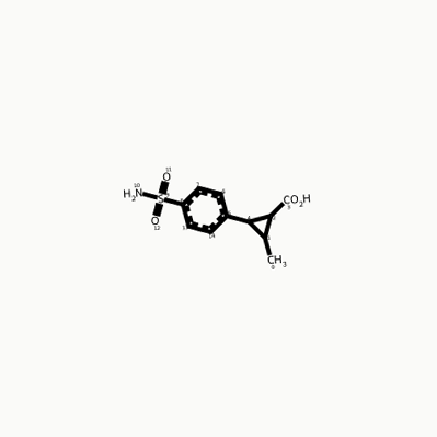 CC1C(C(=O)O)C1c1ccc(S(N)(=O)=O)cc1